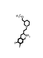 COCC1CCCN(CCC(N)Cc2cc(F)c(F)cc2F)C1